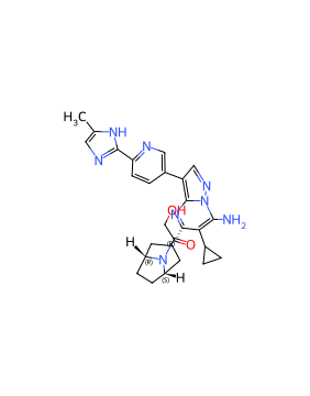 Cc1cnc(-c2ccc(-c3cnn4c(N)c(C5CC5)c([C@H]5C[C@H]6CC[C@@H](C5)N6C(=O)CO)nc34)cn2)[nH]1